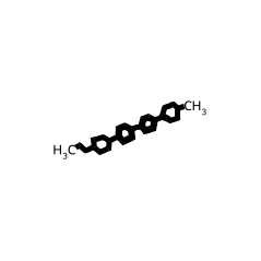 CCCC1CCC(c2ccc(-c3ccc(C4=CCC(C)CC4)cc3)cc2)CC1